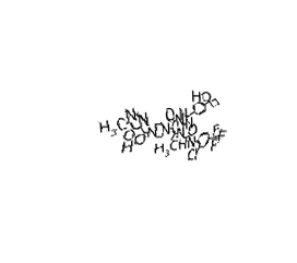 CCc1c(N2CCN(C(=O)c3ncnc(C)c3O)CC2)c(=O)n2nc(-c3ccc(C4(O)CCC4)cc3)nc2n1CC(=O)Nc1ccc(C(F)(F)F)cc1Cl